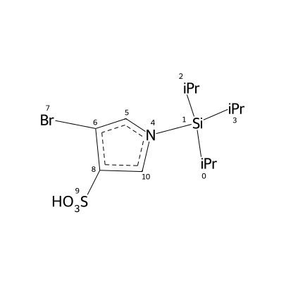 CC(C)[Si](C(C)C)(C(C)C)n1cc(Br)c(S(=O)(=O)O)c1